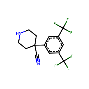 N#CC1(c2cc(C(F)(F)F)cc(C(F)(F)F)c2)CCNCC1